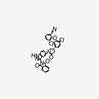 N#Cc1cccc(Cl)c1Oc1cc([C@H]2CC(=O)N(c3ccc4[nH]nc(N5C(=O)c6ccccc6C5=O)c4c3)C2)ccc1Cl